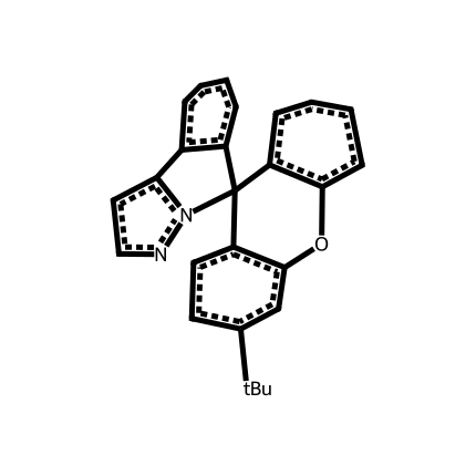 CC(C)(C)c1ccc2c(c1)Oc1ccccc1C21c2ccccc2-c2ccnn21